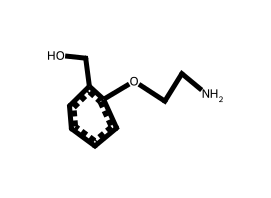 NCCOc1ccccc1CO